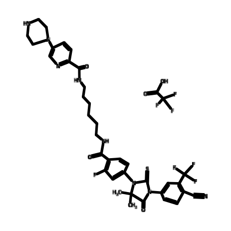 CC1(C)C(=O)N(c2ccc(C#N)c(C(F)(F)F)c2)C(=S)N1c1ccc(C(=O)NCCCCCCNC(=O)c2ccc(N3CCNCC3)cn2)c(F)c1.O=C(O)C(F)(F)F